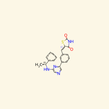 C[C@H](Nc1cncc(-c2cccc(/C=C3/SC(=O)NC3=O)c2)n1)c1ccccc1